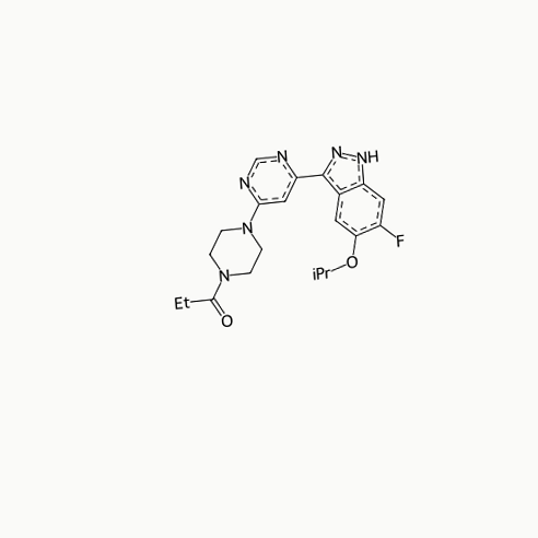 CCC(=O)N1CCN(c2cc(-c3n[nH]c4cc(F)c(OC(C)C)cc34)ncn2)CC1